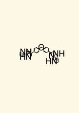 c1cc(-c2c[nH]c([C@@H]3CCCN3)n2)ccc1Oc1ccc(C2CNC([C@@H]3CCCN3)=N2)cc1